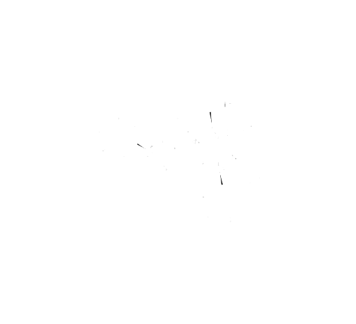 CC(C)C[C@H]1C(=O)N[C@@H](c2ccccc2F)CN1C(=O)[C@@H]1C[C@H]1c1ccccc1